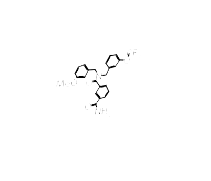 COc1cccc(CN(Cc2cccc(OC(F)(F)F)c2)C(=O)c2cccc(C(N)=O)c2)c1